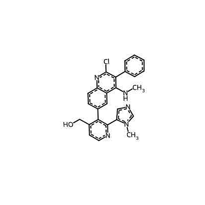 CNc1c(-c2ccccc2)c(Cl)nc2ccc(-c3c(CO)ccnc3-c3cncn3C)cc12